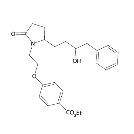 CCOC(=O)c1ccc(OCCN2C(=O)CCC2CCC(O)Cc2ccccc2)cc1